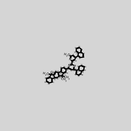 Cc1cc(-c2cccc3ccccc23)cc(-c2nc(-c3ccc4c(c3)C(C)(C)c3cc5c(cc3-4)C(C)(C)c3ccccc3-5)cc(-c3cccc4ccccc34)n2)n1